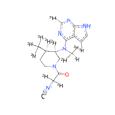 [2H]c1nc(N(C([2H])([2H])[2H])[C@@]2([2H])CN(C(=O)C([2H])([2H])[N+]#[C-])CC[C@@]2([2H])C([2H])([2H])[2H])c2c([2H])c[nH]c2n1